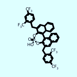 O=P1(O)OC2=C(c3c(c(Cc4ccc(C(F)(F)F)cc4C(F)(F)F)cc4ccccc34)O1)C1C=CC=CC1C=C2Cc1ccc(C(F)(F)F)cc1C(F)(F)F